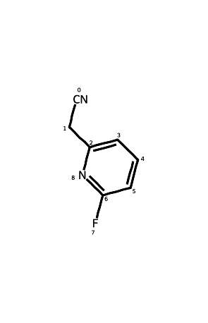 N#CCc1cccc(F)n1